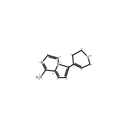 Nc1ncnn2c(C3=CCOCC3)ccc12